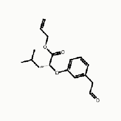 C=CCOC(=O)[C@@H](CC(C)C)Oc1cccc(CC=O)c1